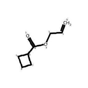 C=CCOC(=O)C1CCC1